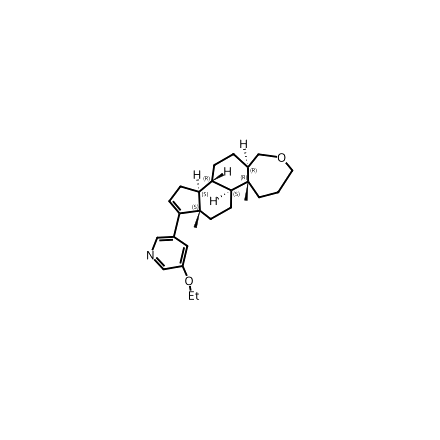 CCOc1cncc(C2=CC[C@H]3[C@@H]4CC[C@H]5COCCC[C@]5(C)[C@H]4CC[C@]23C)c1